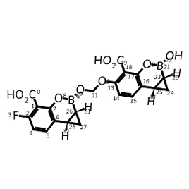 O=C(O)c1c(F)ccc2c1OB(OCOc1ccc3c(c1C(=O)O)OB(O)[C@@H]1C[C@H]31)[C@@H]1C[C@H]21